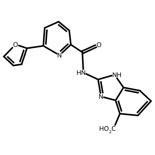 O=C(Nc1nc2c(C(=O)O)cccc2[nH]1)c1cccc(-c2ccco2)n1